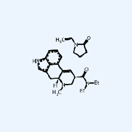 C=CN1CCCC1=O.CCN(CC)C(=O)[C@@H]1C=C2c3cccc4[nH]cc(c34)C[C@H]2N(C)C1